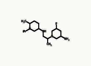 CC(CNC1CCC(C)N(C(C)C)C1)N1CC(N)CC(F)C1